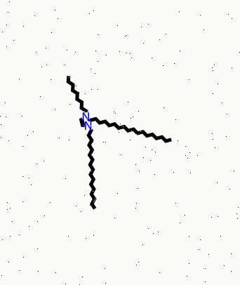 CCCCCCCCCCCCCCCCCC1N(CCCCCCCCC)C=CN1CCCCCCCCCCCCCCCCC